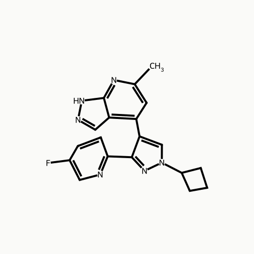 Cc1cc(-c2cn(C3CCC3)nc2-c2ccc(F)cn2)c2cn[nH]c2n1